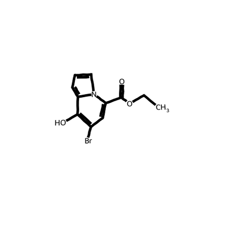 CCOC(=O)c1cc(Br)c(O)c2cccn12